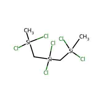 C[Si](Cl)(Cl)C[Si](Cl)(Cl)C[Si](C)(Cl)Cl